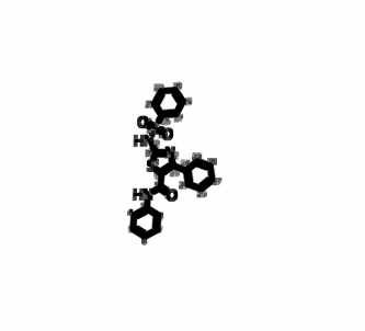 O=C(Nc1ccccc1)c1sc(NS(=O)(=O)c2ccccc2)nc1-c1ccccc1